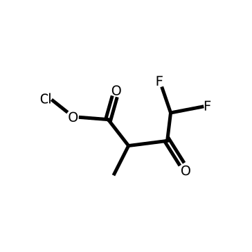 CC(C(=O)OCl)C(=O)C(F)F